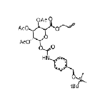 C=CCOC(=O)C1OC(OC(=O)Nc2ccc(CO[Si](C)(C)C(C)(C)C)cc2)[C@H](OC(C)=O)C(OC(C)=O)C1OC(C)=O